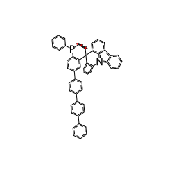 c1ccc(-c2ccc(-c3ccc(-c4ccc5c(c4)C4(c6ccccc6-n6c7ccccc7c7cccc4c76)c4ccccc4P5c4ccccc4)cc3)cc2)cc1